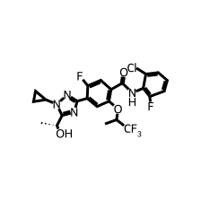 CC(Oc1cc(-c2nc([C@@H](C)O)n(C3CC3)n2)c(F)cc1C(=O)Nc1c(F)cccc1Cl)C(F)(F)F